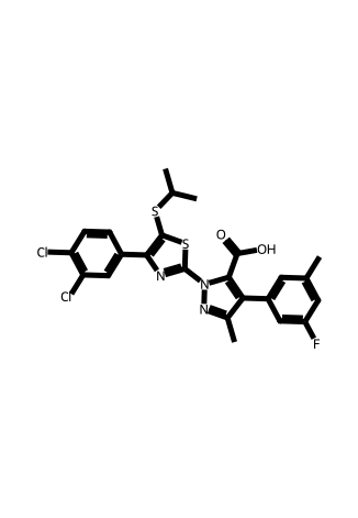 Cc1cc(F)cc(-c2c(C)nn(-c3nc(-c4ccc(Cl)c(Cl)c4)c(SC(C)C)s3)c2C(=O)O)c1